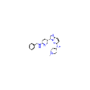 CN1CCC(Nc2ccc3ncc(-c4ccc(NCc5ccccc5)nc4)n3n2)CC1